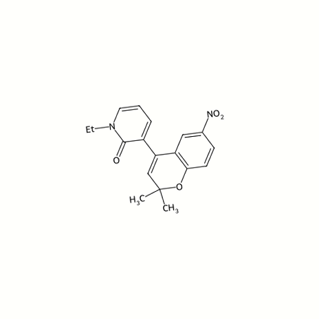 CCn1cccc(C2=CC(C)(C)Oc3ccc([N+](=O)[O-])cc32)c1=O